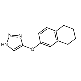 c1cc2c(cc1Oc1c[nH]nn1)CCCC2